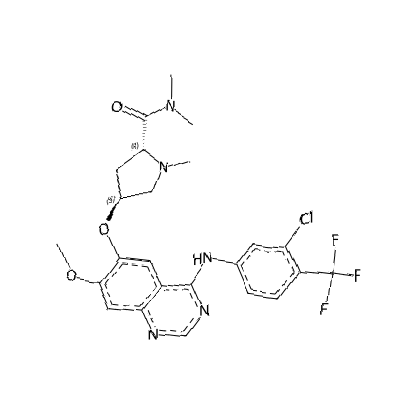 COc1cc2ncnc(Nc3ccc(C(F)(F)F)c(Cl)c3)c2cc1O[C@H]1C[C@H](C(=O)N(C)C)N(C)C1